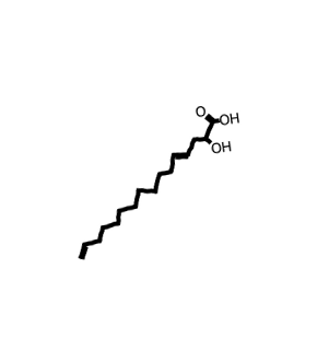 C=CCCCCCCCCCC=CCC(O)C(=O)O